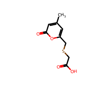 Cc1cc(CSCC(=O)O)oc(=O)c1